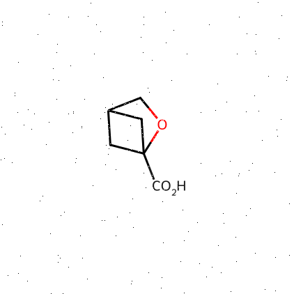 O=C(O)C12CC(CO1)C2